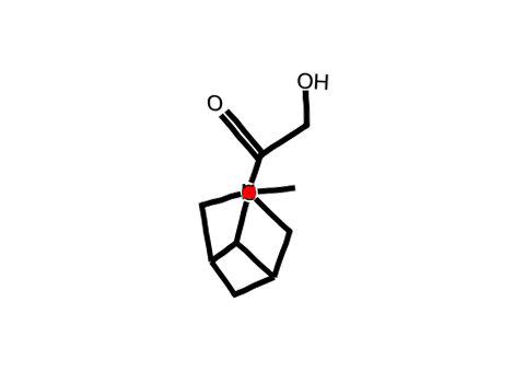 COC1C2CC1CN(C(=O)CO)C2